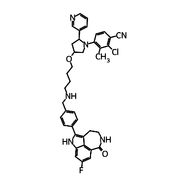 Cc1c(N2CC(OCCCCNCc3ccc(-c4[nH]c5cc(F)cc6c5c4CCNC6=O)cc3)CC2c2cccnc2)ccc(C#N)c1Cl